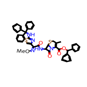 CON=C(C(=O)NC1C(=O)N2C(C(=O)OC(c3ccccc3)c3ccccc3)=C(C)CSC12)c1csc(NC(c2ccccc2)(c2ccccc2)c2ccccc2)n1